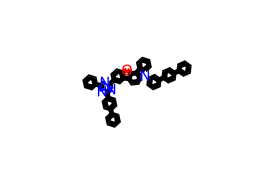 C1=CC2c3cc(-c4nc(-c5ccccc5)nc(-c5ccc(-c6ccccc6)cc5)n4)ccc3OC2c2c1n(-c1cccc(-c3ccc(-c4ccccc4)cc3)c1)c1ccccc21